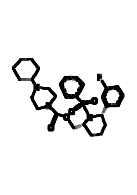 O=C(OC[C@H]1CCC[C@@H](c2cccc(F)c2)N1S(=O)(=O)c1ccccc1)N1CCN(C2CCCCC2)CC1